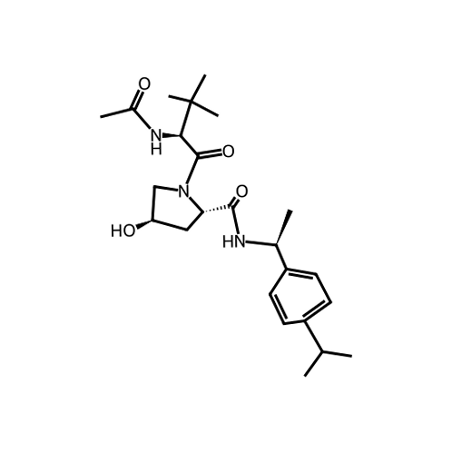 CC(=O)N[C@H](C(=O)N1C[C@H](O)C[C@H]1C(=O)N[C@@H](C)c1ccc(C(C)C)cc1)C(C)(C)C